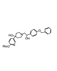 COc1ccc(C2(O)CCN(CC(O)c3ccc(OCc4ccccc4)cc3)CC2)cn1